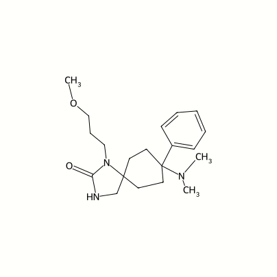 COCCCN1C(=O)NCC12CCC(c1ccccc1)(N(C)C)CC2